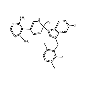 CC1(n2nc(Cc3c(F)ccc(F)c3F)c3cc(Cl)ccc32)N=CC(c2c(N)ncnc2N)=CN1